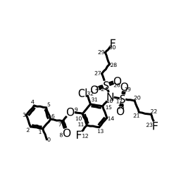 Cc1ccccc1C(=O)Oc1c(F)ccc(N(S(=O)(=O)CCCF)S(=O)(=O)CCCF)c1Cl